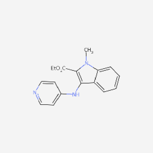 CCOC(=O)c1c(Nc2ccncc2)c2ccccc2n1C